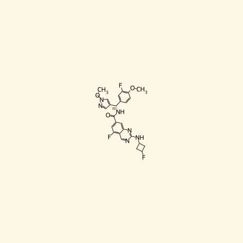 COc1ccc([C@H](NC(=O)c2cc(F)c3cnc(NC4CC(F)C4)nc3c2)c2cnn(OC)c2)cc1F